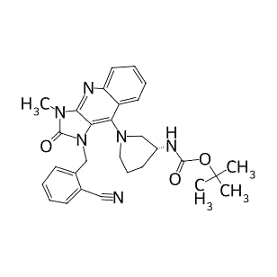 Cn1c(=O)n(Cc2ccccc2C#N)c2c(N3CCC[C@@H](NC(=O)OC(C)(C)C)C3)c3ccccc3nc21